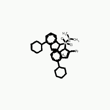 CC1=Cc2c(C3CCCCC3)cccc2[CH]1[Zr]([Cl])([Cl])([CH]1C(C(C)C)=Cc2c(C3CCCCC3)cccc21)[SiH](C)C